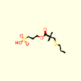 CCCSCC(C)(C)C(=O)OCCCS(=O)(=O)O